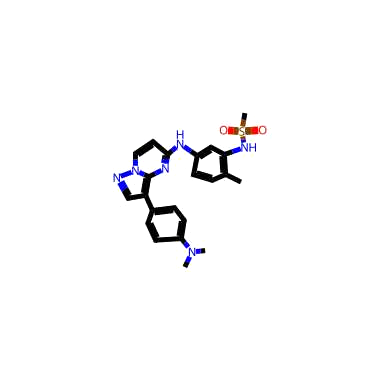 Cc1ccc(Nc2ccn3ncc(-c4ccc(N(C)C)cc4)c3n2)cc1NS(C)(=O)=O